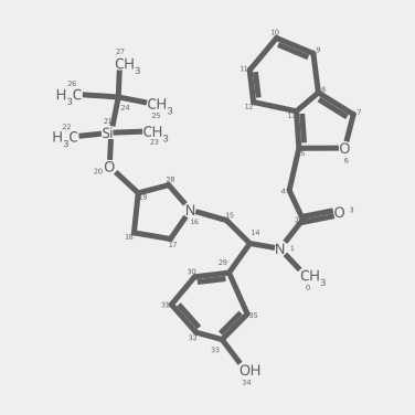 CN(C(=O)Cc1occ2ccccc12)C(CN1CCC(O[Si](C)(C)C(C)(C)C)C1)c1cccc(O)c1